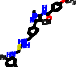 Cc1ccc(C(C)C)c(NCSNNCc2ccc(-c3nn(C)c(NC(=O)c4ccc(OC(F)(F)F)cc4)c3C#N)cc2)c1